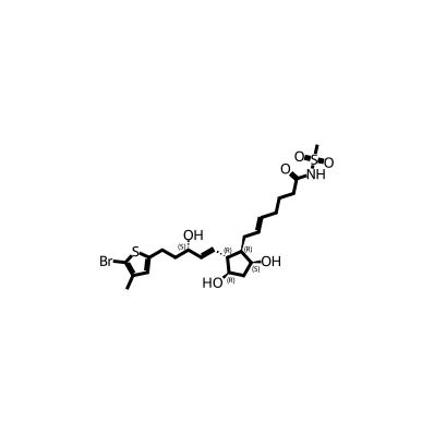 Cc1cc(CC[C@H](O)C=C[C@@H]2[C@@H](CC=CCCCC(=O)NS(C)(=O)=O)[C@@H](O)C[C@H]2O)sc1Br